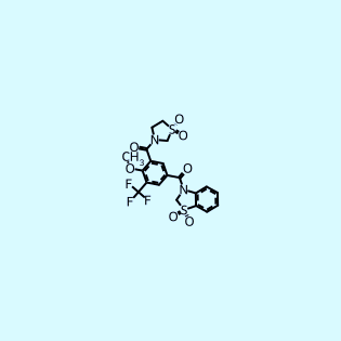 COc1c(C(=O)N2CCS(=O)(=O)C2)cc(C(=O)N2CS(=O)(=O)c3ccccc32)cc1C(F)(F)F